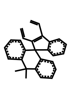 C=CC1=C(C=C)C2(c3ccccc31)c1ccccc1C(C)(C)c1ccccc12